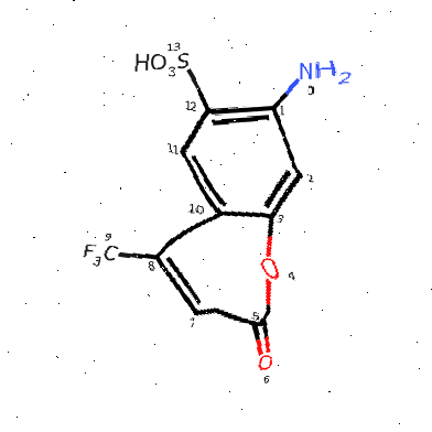 Nc1cc2oc(=O)cc(C(F)(F)F)c2cc1S(=O)(=O)O